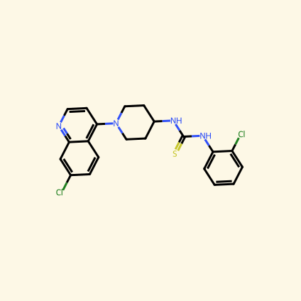 S=C(Nc1ccccc1Cl)NC1CCN(c2ccnc3cc(Cl)ccc23)CC1